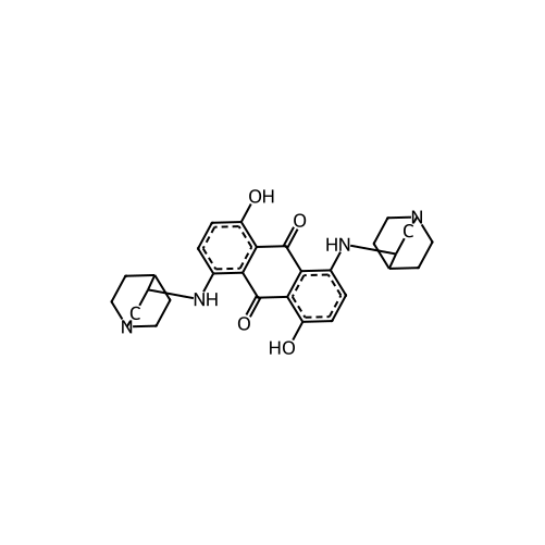 O=C1c2c(O)ccc(NC3CN4CCC3CC4)c2C(=O)c2c(O)ccc(NC3CN4CCC3CC4)c21